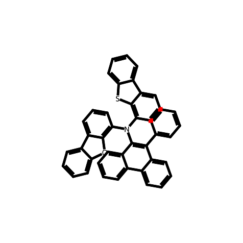 c1ccc(-c2c(N(c3cccc4c3oc3ccccc34)c3cccc4c3sc3ccccc34)c3ccccc3c3ccccc23)cc1